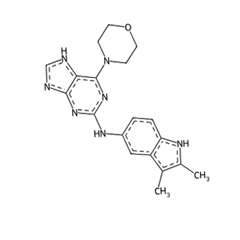 Cc1[nH]c2ccc(Nc3nc(N4CCOCC4)c4[nH]cnc4n3)cc2c1C